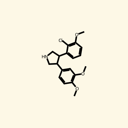 COc1ccc(C2CNCC2c2cccc(OC)c2Cl)cc1OC